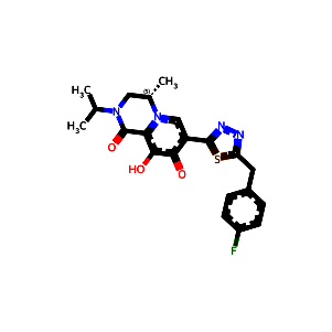 CC(C)N1C[C@H](C)n2cc(-c3nnc(Cc4ccc(F)cc4)s3)c(=O)c(O)c2C1=O